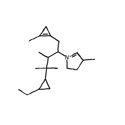 CCC1CC1C(C)(C)C(C)C(CC1=C(C)C1)[N+]1=CC(C)CC1